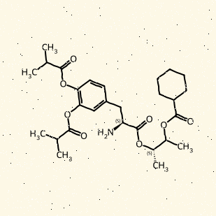 CC(C)C(=O)Oc1ccc(C[C@H](N)C(=O)O[C@@H](C)C(C)OC(=O)C2CCCCC2)cc1OC(=O)C(C)C